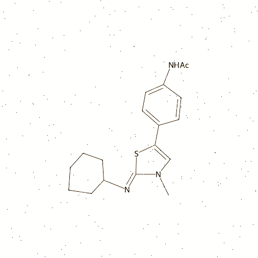 CC(=O)Nc1ccc(-c2cn(C)/c(=N/C3CCCCC3)s2)cc1